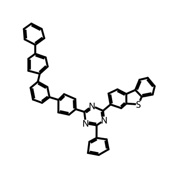 c1ccc(-c2ccc(-c3cccc(-c4ccc(-c5nc(-c6ccccc6)nc(-c6ccc7c(c6)sc6ccccc67)n5)cc4)c3)cc2)cc1